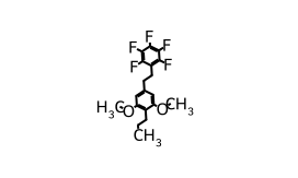 CCCc1c(OC)cc(CCc2c(F)c(F)c(F)c(F)c2F)cc1OC